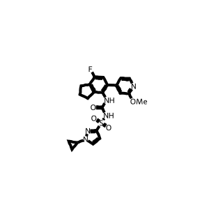 COc1cc(-c2cc(F)c3c(c2NC(=O)NS(=O)(=O)c2ccn(C4CC4)n2)CCC3)ccn1